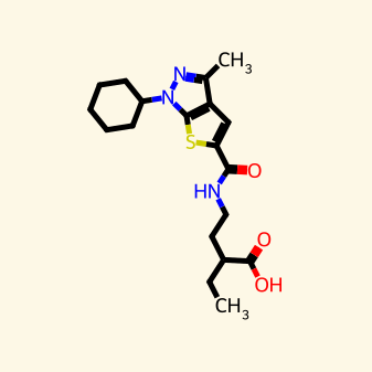 CCC(CCNC(=O)c1cc2c(C)nn(C3CCCCC3)c2s1)C(=O)O